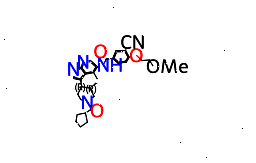 COCCOc1ccc(C(=O)Nc2cnc3c(c([C@@H]4CCN(C(=O)C5CCCC5)C[C@@H]4C)cn3C)c2C)cc1C#N